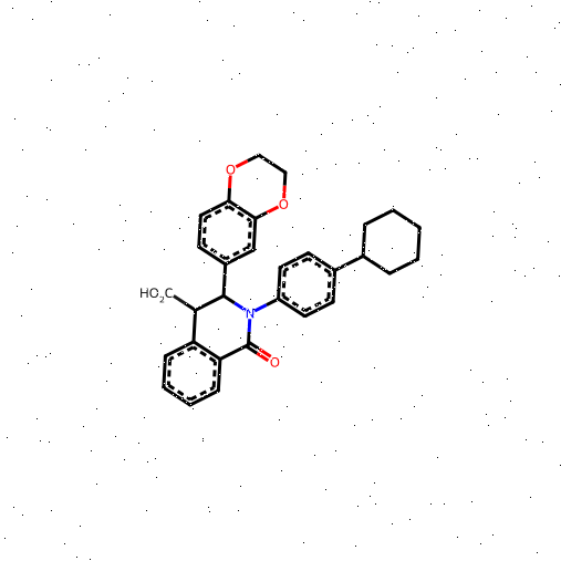 O=C(O)C1c2ccccc2C(=O)N(c2ccc(C3CCCCC3)cc2)C1c1ccc2c(c1)OCCO2